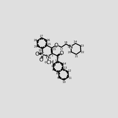 CN1C(C(=O)c2ccc3ccccc3c2)=C(OCCN2CCCCC2)c2ccccc2S1(=O)=O